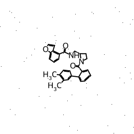 Cc1ccc(-c2ccccc2C(=O)N2CC[C@@H]2CNC(=O)c2cccc3occc23)cc1C